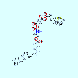 CC/C=C\C/C=C\C/C=C\C/C=C\C/C=C\CCCC(=O)OCCNC(=O)OC(=O)/C=C/C(=O)OC(=O)CCCC[C@]1(C)CCSS1